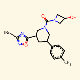 CC(C)(C)c1noc(C2CC(c3ccc(C(F)(F)F)cc3)CN(C(=O)N3CC(O)C3)C2)n1